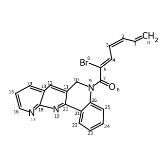 C=C/C=C\C=C(/Br)C(=O)N1Cc2cc3cccnc3nc2-c2ccccc21